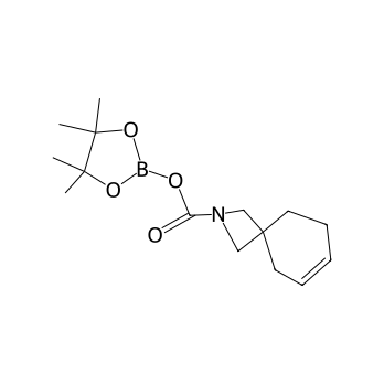 CC1(C)OB(OC(=O)N2CC3(CC=CCC3)C2)OC1(C)C